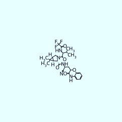 CC(C)C(NC(=O)C(F)(F)F)C(=O)N1C[C@H]2[C@@H]([C@H]1C(=O)NC(C#N)CC1Oc3ccccc3NC1=O)C2(C)C